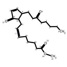 CCCCCC(=O)CCC1C=CC(=O)C1C/C=C\CCCCC(=O)OC